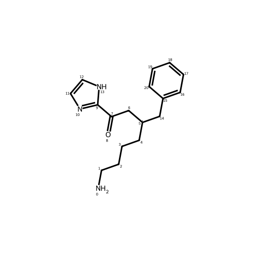 NCCCC[C](CC(=O)c1ncc[nH]1)Cc1ccccc1